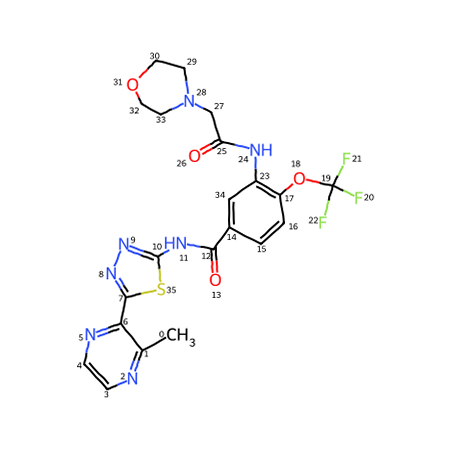 Cc1nccnc1-c1nnc(NC(=O)c2ccc(OC(F)(F)F)c(NC(=O)CN3CCOCC3)c2)s1